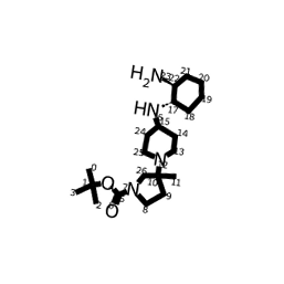 CC(C)(C)OC(=O)N1CCC(C)(N2CCC(N[C@H]3CCCC[C@@H]3N)CC2)C1